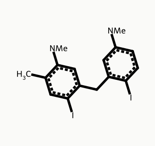 CNc1ccc(I)c(Cc2cc(NC)c(C)cc2I)c1